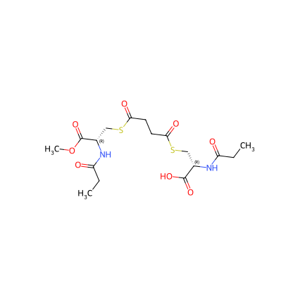 CCC(=O)N[C@@H](CSC(=O)CCC(=O)SC[C@H](NC(=O)CC)C(=O)OC)C(=O)O